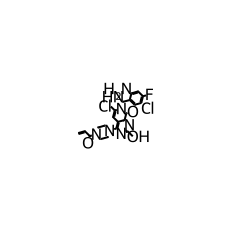 C=CC(=O)N1CCN(c2nc(O)nc3c(Oc4c(Cl)c(F)cc(N)c4C=N)nc(Cl)cc23)CC1